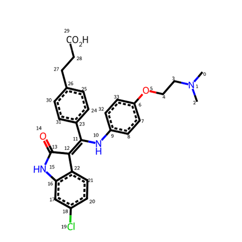 CN(C)CCOc1ccc(NC(=C2C(=O)Nc3cc(Cl)ccc32)c2ccc(CCC(=O)O)cc2)cc1